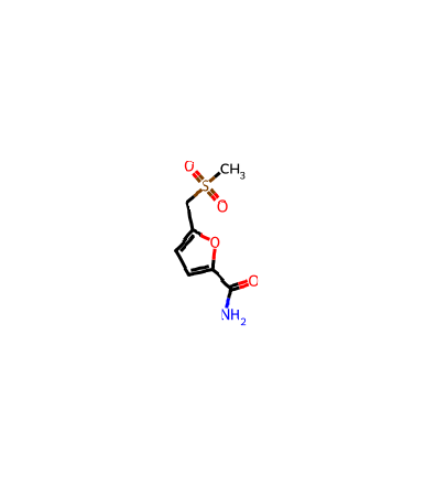 CS(=O)(=O)Cc1ccc(C(N)=O)o1